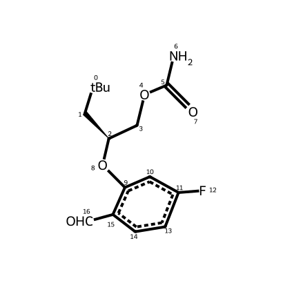 CC(C)(C)C[C@@H](COC(N)=O)Oc1cc(F)ccc1C=O